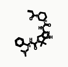 C=CC(=O)N1CCC[C@H](C(=O)Nc2n[nH]c3c2CN(C(=O)N[C@H](CN(C)C)c2ccccc2)C3(C)C)C1